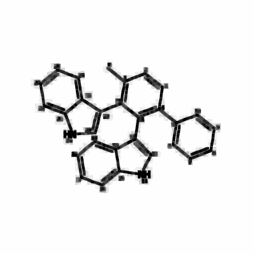 Cc1ccc(-c2ccccc2)c(-c2c[nH]c3ccccc23)c1-c1c[nH]c2ccccc12